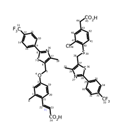 Cc1cc(OCc2sc(-c3ccc(C(F)(F)F)cc3)nc2C)ccc1/C=C/C(=O)O.Cc1nc(-c2ccc(C(F)(F)F)cc2)sc1CSc1ccc(CC(=O)O)cc1Cl